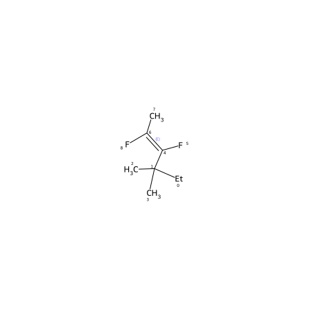 CCC(C)(C)/C(F)=C(/C)F